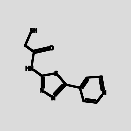 O=C(CS)Nc1nnc(-c2ccncc2)s1